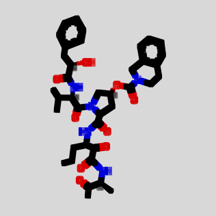 CCCC(NC(=O)C1C[C@@H](OC(=O)N2CCc3ccccc3C2)CN1C(=O)[C@@H](NC(=O)[C@@H](O)Cc1ccccc1)C(C)C)C(=O)C(=O)N[C@@H](C)C(C)=O